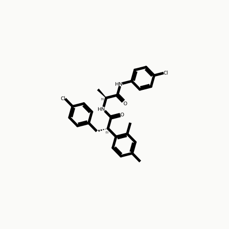 Cc1ccc([C@H](Cc2ccc(Cl)cc2)C(=O)N[C@@H](C)C(=O)Nc2ccc(Cl)cc2)c(C)c1